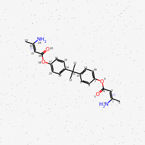 C/C(N)=C/C(=O)Oc1ccc(C(C)(C)c2ccc(OC(=O)/C=C(/C)N)cc2)cc1